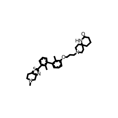 Cc1c(OCCCN2CCC3(CCCC(=O)N3)CC2)cccc1-c1cccc(-c2nc3c(s2)CCN(C)C3)c1C